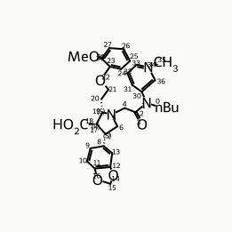 CCCCN(C(=O)CN1C[C@H](c2ccc3c(c2)OCO3)[C@@H](C(=O)O)[C@@H]1CCOc1ccccc1OC)c1ccc[n+](C)c1